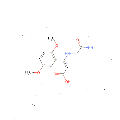 COc1ccc(OC)c(/C(=C\C(=O)O)NCC(N)=O)c1